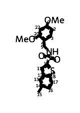 COc1ccc(CNS(=O)(=O)c2cc3cc(C)ccc3s2)c(OC)c1